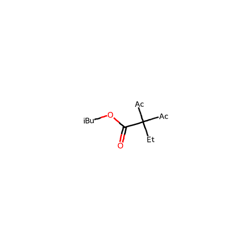 CCC(C)OC(=O)C(CC)(C(C)=O)C(C)=O